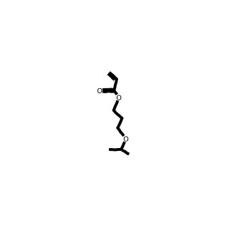 C=CC(=O)OCCCOC(C)C